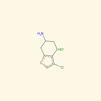 Cl.NC1CCc2c(Cl)csc2C1